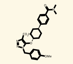 COc1ccc(Cn2nnc(C(=O)O)c2O[C@H]2CC[C@H](c3ccc(C(=O)N(C)C)cc3)CC2)cc1